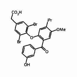 COc1cc(C(=O)c2cccc(O)c2)c(Oc2c(Br)cc(CC(=O)O)cc2Br)cc1C(C)C